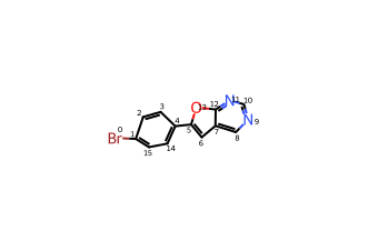 Brc1ccc(-c2cc3cncnc3o2)cc1